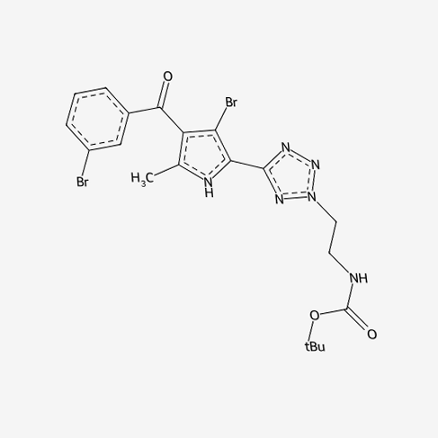 Cc1[nH]c(-c2nnn(CCNC(=O)OC(C)(C)C)n2)c(Br)c1C(=O)c1cccc(Br)c1